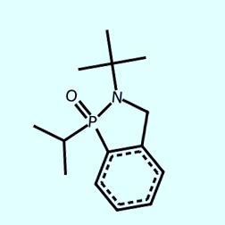 CC(C)P1(=O)c2ccccc2CN1C(C)(C)C